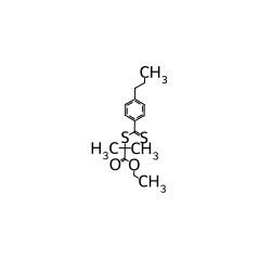 CCCc1ccc(C(=S)SC(C)(C)C(=O)OCC)cc1